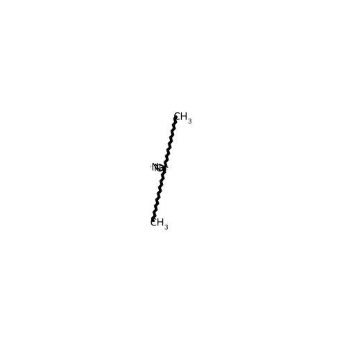 CCCCCCCCCCCCCCCCCC(=O)CCCCCCCCCCCCCCCCC.[Na].[Na]